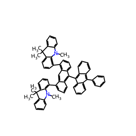 CN1c2ccccc2C(C)(C)c2cccc(-c3cccc4c(-c5c6ccccc6c(-c6ccccc6)c6ccccc56)c5cccc(-c6cccc7c6N(C)c6ccccc6C7(C)C)c5cc34)c21